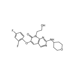 O=c1c(Oc2ccc(F)cc2F)cc2cnc(NC3CCOCC3)nc2n1CCO